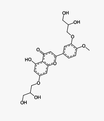 COc1ccc(-c2cc(=O)c3c(O)cc(OCC(O)CO)cc3o2)cc1OCC(O)CO